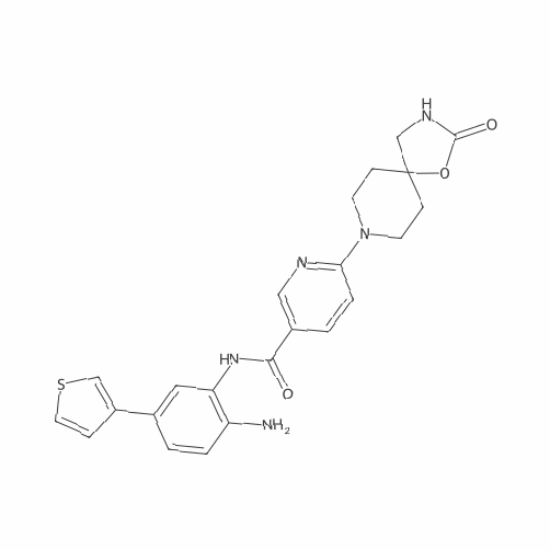 Nc1ccc(-c2ccsc2)cc1NC(=O)c1ccc(N2CCC3(CC2)CNC(=O)O3)nc1